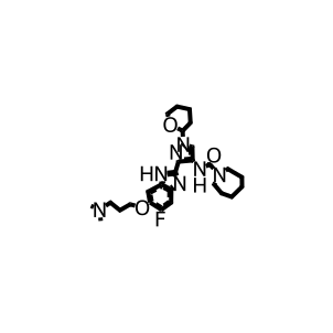 CN(C)CCCOc1cc2[nH]c(-c3nn(C4CCCCO4)cc3NC(=O)N3CCCCCC3)nc2cc1F